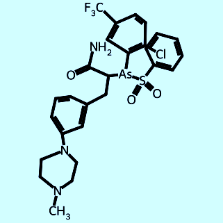 CN1CCN(c2cccc(CC(C(N)=O)[As](c3cc(C(F)(F)F)ccc3Cl)S(=O)(=O)c3ccccc3)c2)CC1